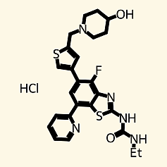 CCNC(=O)Nc1nc2c(F)c(-c3csc(CN4CCC(O)CC4)c3)cc(-c3ccccn3)c2s1.Cl